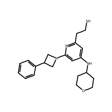 SCCc1cc(NC2CCOCC2)cc(N2CC(c3ccccc3)C2)n1